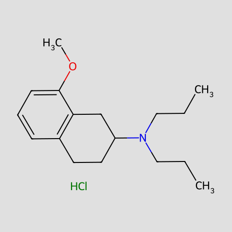 CCCN(CCC)C1CCc2cccc(OC)c2C1.Cl